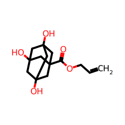 C=CCOC(=O)C12CC3(O)CC(O)(CC(O)(C3)C1)C2